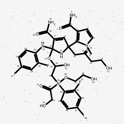 Cn1ccc(C(N)=O)c1C1(CC(=O)CCO)C=C(C(N)=O)C(Nc2ccc(I)cc2F)(OC(O)C[N+](OCCO)(C(=O)CO)c2ccc(I)cc2F)N1